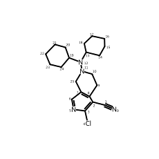 N#Cc1c(Cl)ncc2c1CCN(N(C1CCCCC1)C1CCCCC1)C2